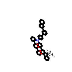 CC1(C)c2ccccc2-c2ccc(-c3ccc(N(c4ccc(-c5cccc(-c6ccc7ccccc7c6)c5)cc4)c4ccccc4-c4ccc(-c5ccccc5)cc4)cc3)cc21